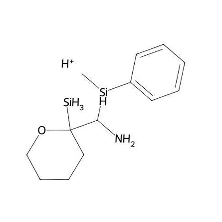 C[SiH](c1ccccc1)C(N)C1([SiH3])CCCCO1.[H+]